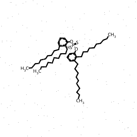 CCCCCCCCCCc1cccc(OP(=S)(S)Oc2cccc(CCCCCCCCCC)c2CCCCCCCCCC)c1CCCCCCCCCC